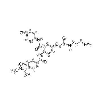 CN(C)C(=N)c1ccc(C(=O)Nc2ccc(OCC(=O)NCCCN)cc2C(=O)Nc2ccc(Cl)cn2)cc1